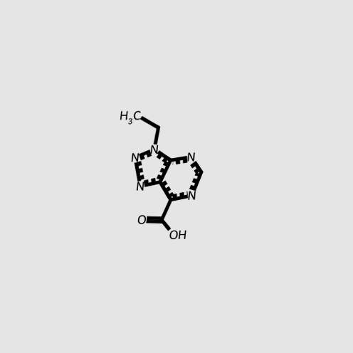 CCn1nnc2c(C(=O)O)ncnc21